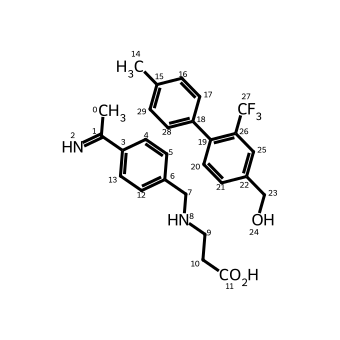 CC(=N)c1ccc(CNCCC(=O)O)cc1.Cc1ccc(-c2ccc(CO)cc2C(F)(F)F)cc1